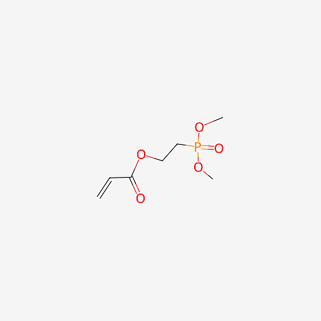 C=CC(=O)OCCP(=O)(OC)OC